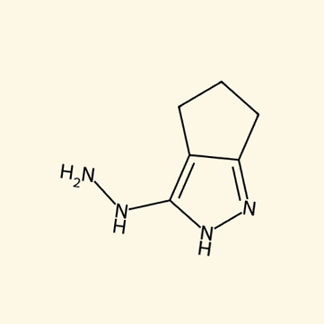 NNc1[nH]nc2c1CCC2